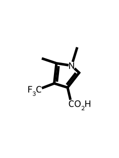 Cc1c(C(F)(F)F)c(C(=O)O)cn1C